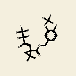 CC1(C)CC1(C=C(Cl)C(F)(F)C(F)(F)F)C(=O)OCc1ccc(F)c(OC(F)(F)F)c1